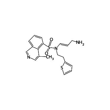 Cc1cncc2cccc(S(=O)(=O)N(C=CCN)CCc3cccs3)c12